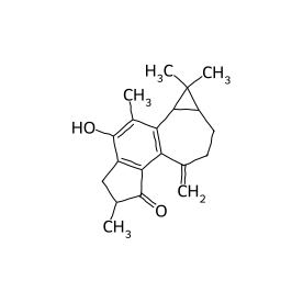 C=C1CCC2C(c3c(C)c(O)c4c(c31)C(=O)C(C)C4)C2(C)C